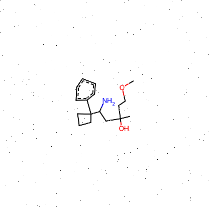 COCCC(C)(O)CC(N)C1(c2ccccc2)CCC1